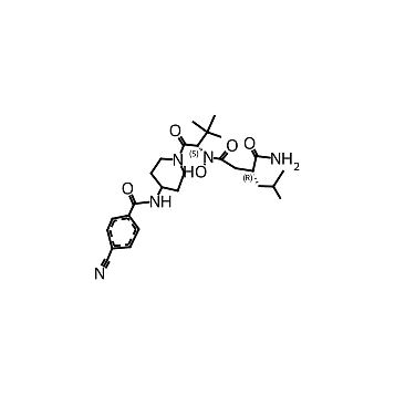 CC(C)C[C@H](CC(=O)N(O)[C@H](C(=O)N1CCC(NC(=O)c2ccc(C#N)cc2)CC1)C(C)(C)C)C(N)=O